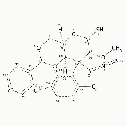 CO[C@H]1[C@@H](S)O[C@@H]2COC(c3ccccc3)O[C@@H]2C1(N=[N+]=[N-])c1cc(Cl)ccc1Cl